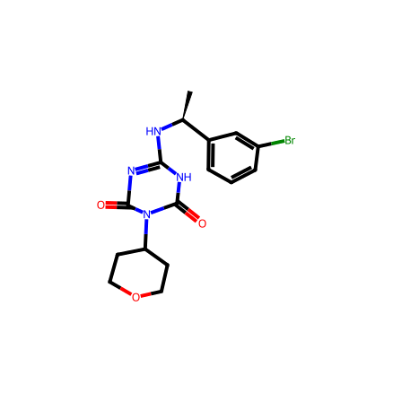 C[C@H](Nc1nc(=O)n(C2CCOCC2)c(=O)[nH]1)c1cccc(Br)c1